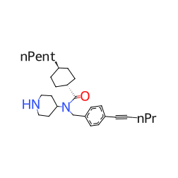 CCCC#Cc1ccc(CN(C(=O)[C@H]2CC[C@H](CCCCC)CC2)C2CCNCC2)cc1